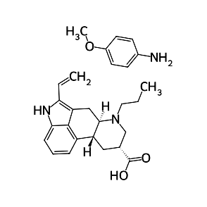 C=Cc1[nH]c2cccc3c2c1C[C@@H]1[C@@H]3C[C@@H](C(=O)O)CN1CCC.COc1ccc(N)cc1